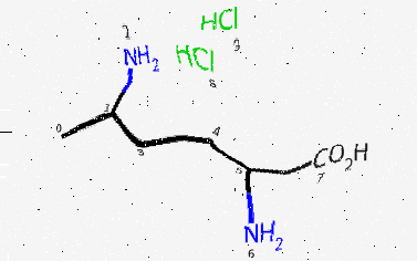 CC(N)CCC(N)C(=O)O.Cl.Cl